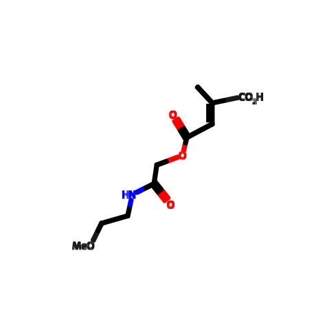 COCCNC(=O)COC(=O)C=C(C)C(=O)O